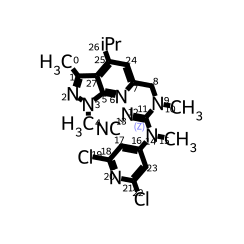 Cc1nn(C)c2nc(CN(C)/C(=N/C#N)N(C)c3cc(Cl)nc(Cl)c3)cc(C(C)C)c12